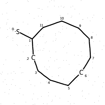 [S]C1CCCCCCCCCC1